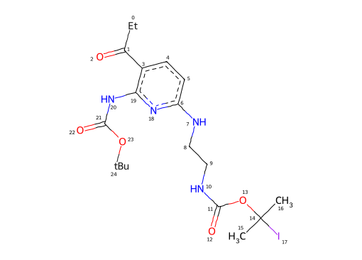 CCC(=O)c1ccc(NCCNC(=O)OC(C)(C)I)nc1NC(=O)OC(C)(C)C